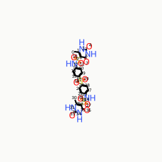 Cc1[nH]c(=O)[nH]c(=O)c1S(=O)(=O)Nc1ccc(S(=O)(=O)c2ccc(NS(=O)(=O)c3c(C)[nH]c(=O)[nH]c3=O)cc2)cc1